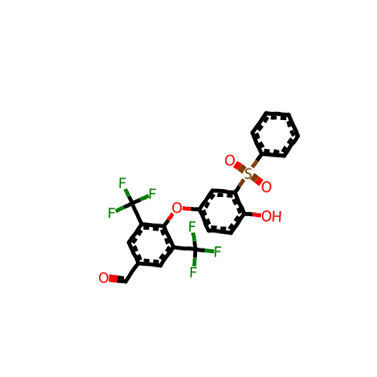 O=Cc1cc(C(F)(F)F)c(Oc2ccc(O)c(S(=O)(=O)c3ccccc3)c2)c(C(F)(F)F)c1